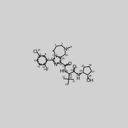 CN1CCCn2c(-c3cc(Cl)ccc3F)nc(C(=O)NC(C(=O)N[C@H]3CCC[C@H]3O)C(C)(C)C)c2C1